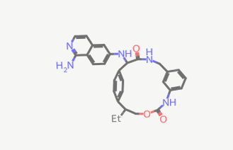 CCC1COC(=O)Nc2cccc(c2)CNC(=O)C(Nc2ccc3c(N)nccc3c2)c2ccc1cc2